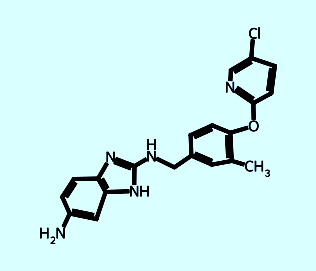 Cc1cc(CNc2nc3ccc(N)cc3[nH]2)ccc1Oc1ccc(Cl)cn1